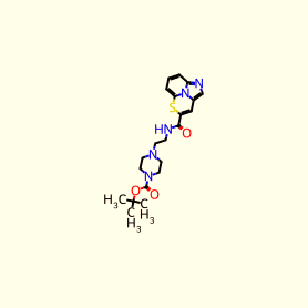 CC(C)(C)OC(=O)N1CCN(CCNC(=O)C2=Cc3cnc4cccc(n34)S2)CC1